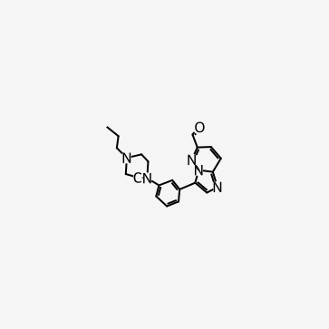 CCCN1CCN(c2cccc(-c3cnc4ccc(C=O)nn34)c2)CC1